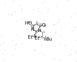 CCCCC(CC)Cn1c(SCC)nc(O)cc1=O